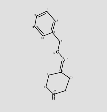 c1ccc(CON=C2CCNCC2)cc1